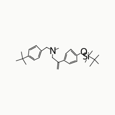 C=C(CN(C)Cc1ccc(C(C)(C)C)cc1)c1ccc(O[Si](C)(C)C(C)(C)C)cc1